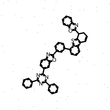 C1=Cc2c(sc3c(-c4cccc(-c5nc6ccc(-c7nc(-c8ccccc8)nc(-c8ccccc8)n7)cc6o5)c4)cccc23)C(c2nc3ccccc3o2)C1